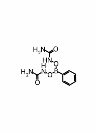 NC(=O)NOB(ONC(N)=O)c1ccccc1